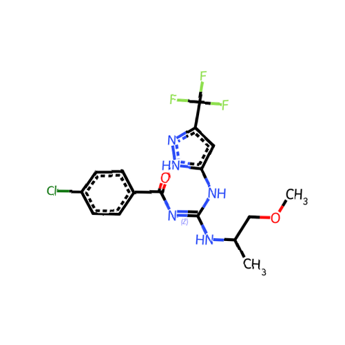 COCC(C)N/C(=N/C(=O)c1ccc(Cl)cc1)Nc1cc(C(F)(F)F)n[nH]1